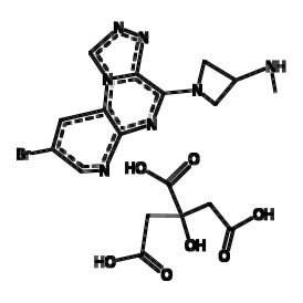 CNC1CN(c2nc3ncc(Br)cc3n3cnnc23)C1.O=C(O)CC(O)(CC(=O)O)C(=O)O